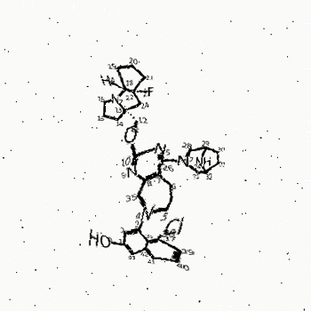 Oc1cc(N2CCc3c(nc(OC[C@]45CCCN4[C@@H]4CCC[C@]4(F)C5)nc3N3CC4CCC(C3)N4)C2)c2c(Cl)cccc2c1